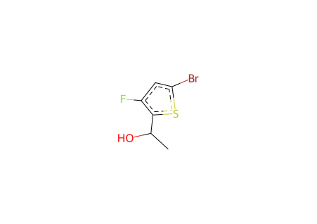 CC(O)c1sc(Br)cc1F